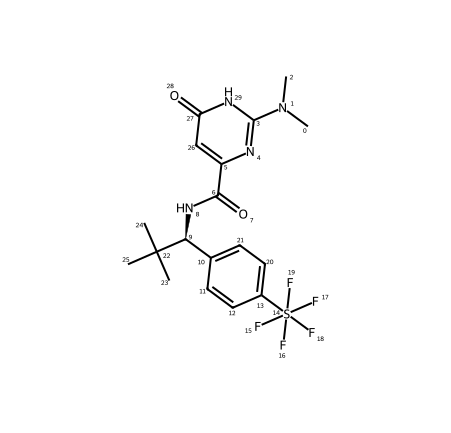 CN(C)c1nc(C(=O)N[C@@H](c2ccc(S(F)(F)(F)(F)F)cc2)C(C)(C)C)cc(=O)[nH]1